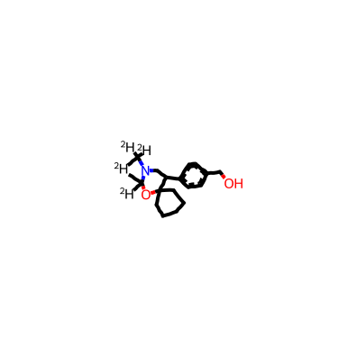 [2H]C([2H])([2H])N1CC(c2ccc(CO)cc2)C2(CCCCC2)OC1([2H])C